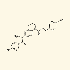 CN(C(=O)c1ccc(Cl)cc1)c1ccc2c(c1)CCCN2C(=O)CCc1ccc(C#N)cc1